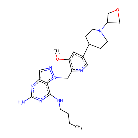 CCCCNc1nc(N)nc2cnn(Cc3ncc(C4CCN(C5COC5)CC4)cc3OC)c12